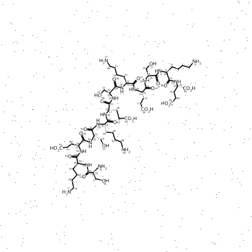 NCCCC[C@H](NC(=O)[C@H](CO)NC(=O)[C@H](CCC(=O)O)NC(=O)[C@H](CCCCN)NC(=O)[C@H](CO)NC(=O)[C@H](CCC(=O)O)NC(=O)[C@H](CCCCN)NC(=O)[C@H](CO)NC(=O)[C@H](CCC(=O)O)NC(=O)[C@H](CCCCN)NC(=O)[C@@H](N)CO)C(=O)N[C@@H](CCC(=O)O)C(=O)O